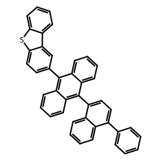 c1ccc(-c2ccc(-c3c4ccccc4c(-c4ccc5sc6ccccc6c5c4)c4ccccc34)c3ccccc23)cc1